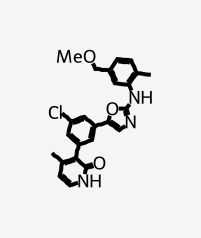 COCc1ccc(C)c(Nc2ncc(-c3cc(Cl)cc(-c4c(C)cc[nH]c4=O)c3)o2)c1